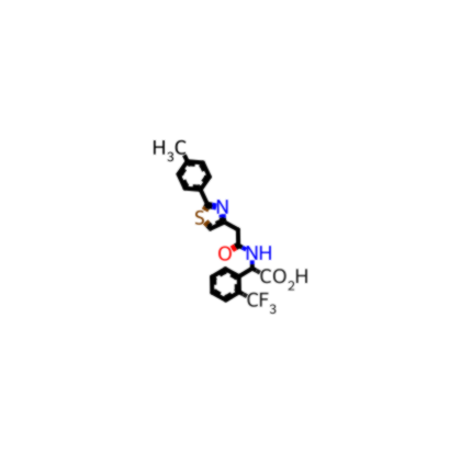 Cc1ccc(-c2nc(CC(=O)NC(C(=O)O)c3ccccc3C(F)(F)F)cs2)cc1